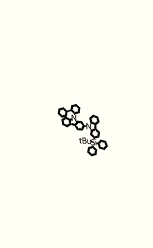 CC(C)(C)[Si](c1ccccc1)(c1ccccc1)c1ccc2c3ccccc3n(-c3ccc4c5ccccc5n(-c5ccccc5-c5ccccc5)c4c3)c2c1